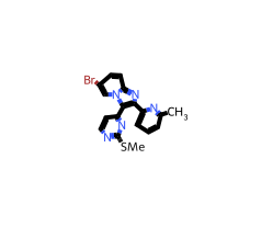 CSc1nccc(-c2c(-c3cccc(C)n3)nc3ccc(Br)cn23)n1